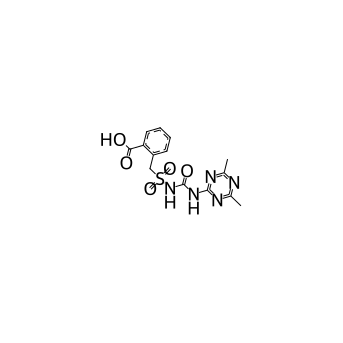 Cc1nc(C)nc(NC(=O)NS(=O)(=O)Cc2ccccc2C(=O)O)n1